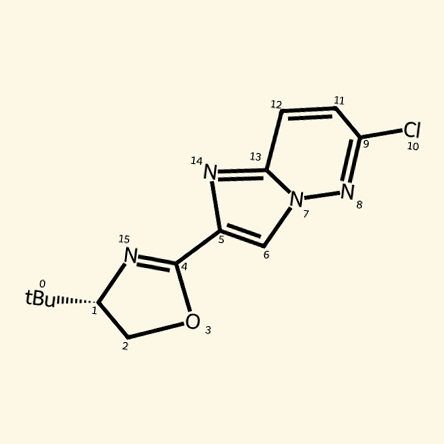 CC(C)(C)[C@H]1COC(c2cn3nc(Cl)ccc3n2)=N1